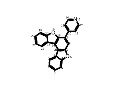 c1ccc2c(c1)oc1cc(-c3ccncc3)c3oc4ccccc4c3c12